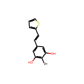 CC(C)c1c(O)cc(C=Cc2cccs2)cc1O